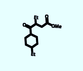 CCC1CCC(C(=O)C(CC)CC(=O)OC)CC1